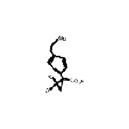 CC(C)(C)Cc1ccc(C2(C(=O)O)CC2(Cl)Cl)cc1